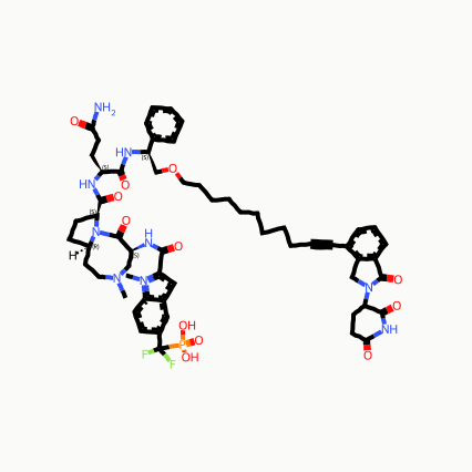 CN1CC[C@H]2CC[C@@H](C(=O)N[C@@H](CCC(N)=O)C(=O)N[C@H](COCCCCCCCCCC#Cc3cccc4c3CN(C3CCC(=O)NC3=O)C4=O)c3ccccc3)N2C(=O)[C@@H](NC(=O)c2cc3cc(C(F)(F)P(=O)(O)O)ccc3n2C)C1